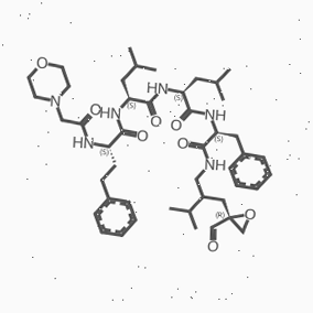 CC(C)C[C@H](NC(=O)[C@H](CCc1ccccc1)NC(=O)CN1CCOCC1)C(=O)N[C@@H](CC(C)C)C(=O)N[C@@H](Cc1ccccc1)C(=O)NCC(C[C@]1(C=O)CO1)C(C)C